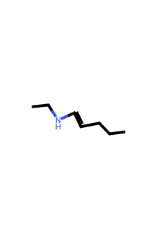 CCCC=CNCC